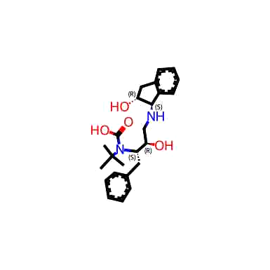 CC(C)(C)N(C(=O)O)[C@@H](Cc1ccccc1)[C@H](O)CN[C@H]1c2ccccc2C[C@H]1O